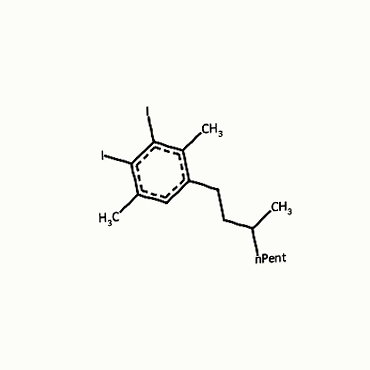 CCCCCC(C)CCc1cc(C)c(I)c(I)c1C